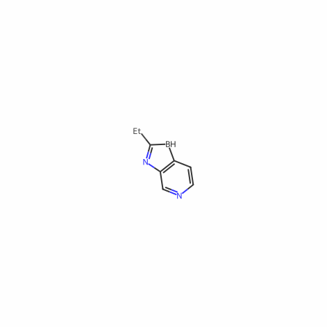 CCC1=Nc2cnccc2B1